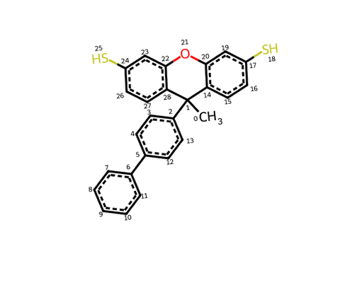 CC1(c2ccc(-c3ccccc3)cc2)c2ccc(S)cc2Oc2cc(S)ccc21